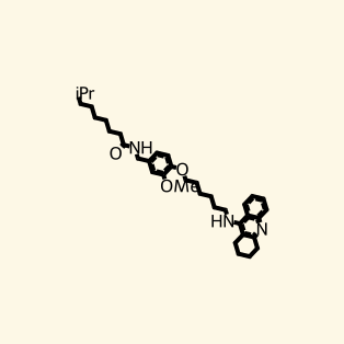 COc1cc(CNC(=O)CCCCCCC(C)C)ccc1OCCCCCCNc1c2c(nc3ccccc13)CCCC2